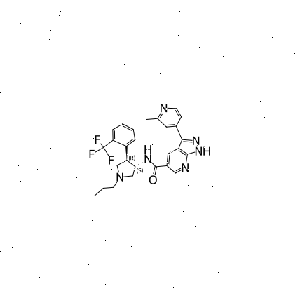 CCCN1C[C@@H](NC(=O)c2cnc3[nH]nc(-c4ccnc(C)c4)c3c2)[C@H](c2ccccc2C(F)(F)F)C1